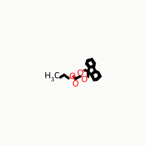 CCCCOC(=O)C1OCC2(CO1)c1ccccc1-c1ccccc12